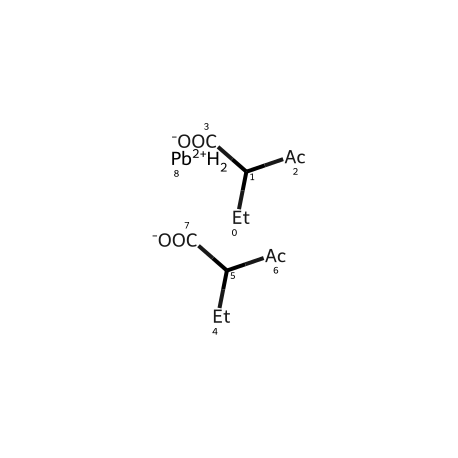 CCC(C(C)=O)C(=O)[O-].CCC(C(C)=O)C(=O)[O-].[PbH2+2]